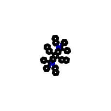 c1ccc(-c2c(-c3ccccc3)n(-c3ccc4ccccc4c3)c3cc4c(-c5ccc6ccccc6c5)c5cc6c(-c7ccccc7)c(-c7ccccc7)n(-c7ccc8ccccc8c7)c6cc5c(-c5ccc6ccccc6c5)c4cc23)cc1